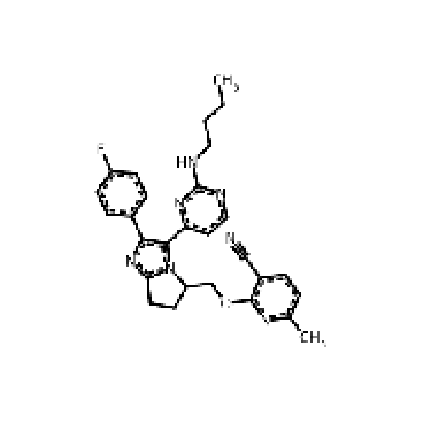 CCCCNc1nccc(-c2c(-c3ccc(F)cc3)nc3n2C(COc2nc(C)ccc2C#N)CC3)n1